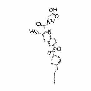 CCCCc1ccc(S(=O)(=O)c2ccc3nc(C(=O)NCC(=O)O)c(O)cc3c2)cc1